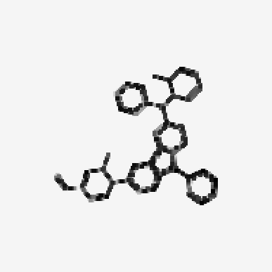 C=CC1=CC(C)C(c2ccc3c(c2)c2cc(N(c4ccccc4)C4C=CC=CC4C)ccc2n3-c2ccccc2)C=C1